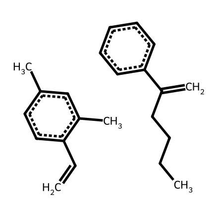 C=C(CCCC)c1ccccc1.C=Cc1ccc(C)cc1C